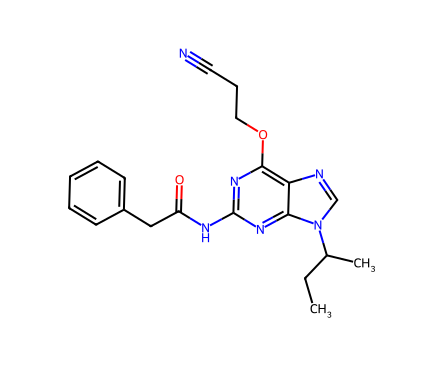 CCC(C)n1cnc2c(OCCC#N)nc(NC(=O)Cc3ccccc3)nc21